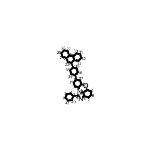 c1ccc(-c2nc3cccc4c3n2-c2ccc(-c3ccc(-c5cc6ccccc6c6ccccc56)cc3)cc2O4)cc1